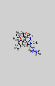 CC(=O)[C@@H](OC(C)(C)C)c1c(C)nc2c(cc(-c3nc(N4CCC4)ns3)n2C)c1-c1cc(F)c2c(c1C)CCCO2